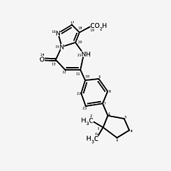 CC1(C)CCCC1c1ccc(-c2cc(=O)n3ncc(C(=O)O)c3[nH]2)cc1